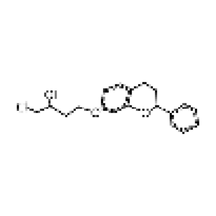 OC(CCl)CCOc1ccc2c(c1)OC(c1ccccc1)CC2